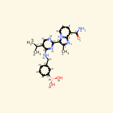 Cc1nc2c(C(N)=O)cccn2c1-c1ncc(C(C)C)c(NCc2cccc(B(O)O)c2)n1